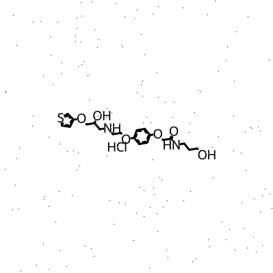 Cl.O=C(COc1ccc(OCCNCC(O)COc2ccsc2)cc1)NCCCO